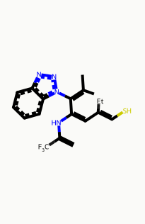 C=C(N/C(=C/C(=C/S)CC)C(=C(C)C)n1nnc2ccccc21)C(F)(F)F